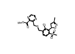 COC(=O)c1nccnc1CSCc1ccc(S(C)(=O)=O)c(C2CC(C)=NO2)c1Cl